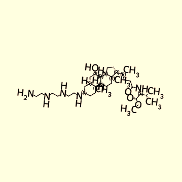 COC(=O)[C@@H](NC(=O)CC[C@@H](C)[C@H]1CC[C@H]2[C@@H]3[C@H](O)C[C@@H]4C[C@@H](NCCNCCNCCN)CC[C@]4(C)[C@H]3CC[C@]12C)C(C)C